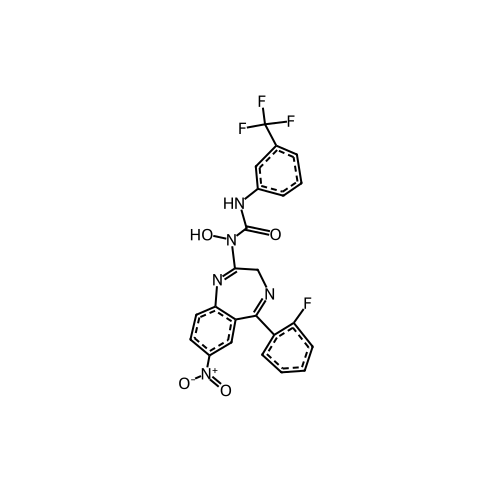 O=C(Nc1cccc(C(F)(F)F)c1)N(O)C1=Nc2ccc([N+](=O)[O-])cc2C(c2ccccc2F)=NC1